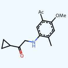 COc1cc(C)c(NCC(=O)C2CC2)cc1C(C)=O